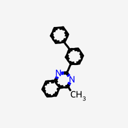 Cc1nc(-c2cccc(-c3ccccc3)c2)nc2ccccc12